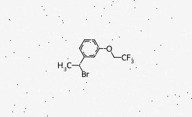 CC(Br)c1cccc(OCC(F)(F)F)c1